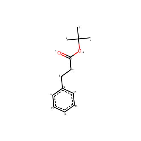 CC(C)(C)OC(=O)C[CH]c1ccccc1